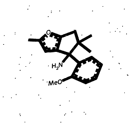 COc1ccccc1C1(N)c2cc(C)oc2CC1(C)C